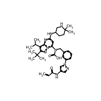 C=CC(=O)Nc1cnn(-c2cccc(CN(C(=O)O)c3cc(NC4CCC(C)(C)NC4)nc4c(C(C)C)c(C(C)(C)C)nn34)c2)c1